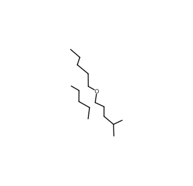 CCCCC.CCCCCOCCCC(C)C